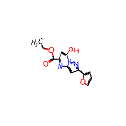 CCOC(=O)c1cc(O)n2nc(-c3ccco3)cc2n1